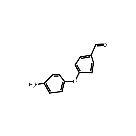 O=Cc1ccc(Oc2ccc(P)cc2)cc1